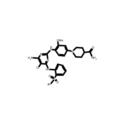 COc1cc(N2CCC(C(N)=O)CC2)ccc1Nc1nc(N)c(Cl)c(Nc2ccccc2S(=O)(=O)C(C)C)n1